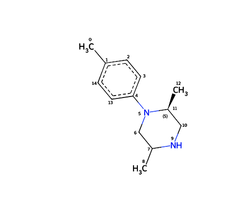 Cc1ccc(N2CC(C)NC[C@@H]2C)cc1